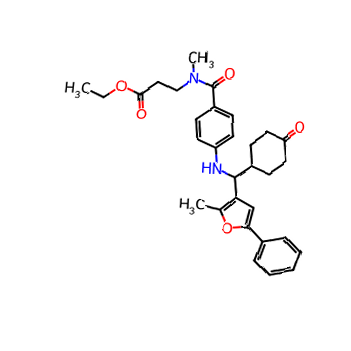 CCOC(=O)CCN(C)C(=O)c1ccc(NC(c2cc(-c3ccccc3)oc2C)C2CCC(=O)CC2)cc1